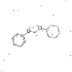 c1ccc(OCOC2CCCCC2)cc1